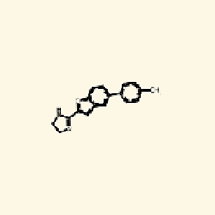 Cc1ccc(-c2ccc3oc(C4=NCCN4)cc3c2)cc1